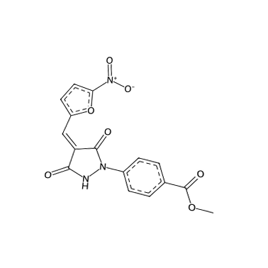 COC(=O)c1ccc(N2NC(=O)C(=Cc3ccc([N+](=O)[O-])o3)C2=O)cc1